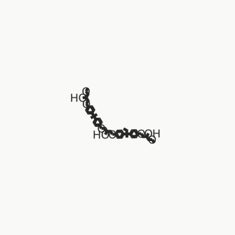 CCC(C)(c1ccc(OCC(O)COC)cc1)c1ccc(OCC(O)COc2ccc(C(C)(C)c3ccc(OCC(O)COC)cc3)cc2)cc1